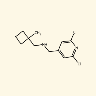 CC1(CNCc2cc(Cl)nc(Cl)c2)CCC1